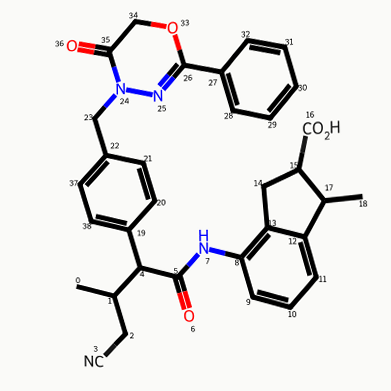 CC(CC#N)C(C(=O)Nc1cccc2c1CC(C(=O)O)C2C)c1ccc(CN2N=C(c3ccccc3)OCC2=O)cc1